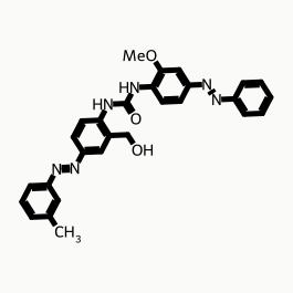 COc1cc(N=Nc2ccccc2)ccc1NC(=O)Nc1ccc(N=Nc2cccc(C)c2)cc1CO